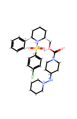 O=C(OC[C@H]1CCC[C@@H](c2ccccc2)N1S(=O)(=O)c1ccc(Cl)cc1)N1CCC(NN2CCCCC2)CC1